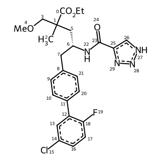 CCOC(=O)C(C)(COC)C[C@@H](Cc1ccc(-c2cc(Cl)ccc2F)cc1)NC(=O)c1c[nH]nn1